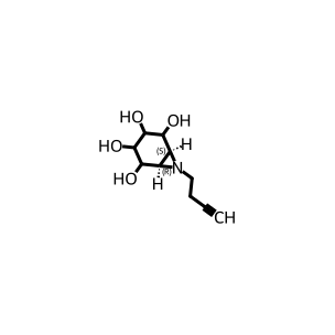 C#CCCN1[C@@H]2C(O)C(O)C(O)C(O)[C@@H]21